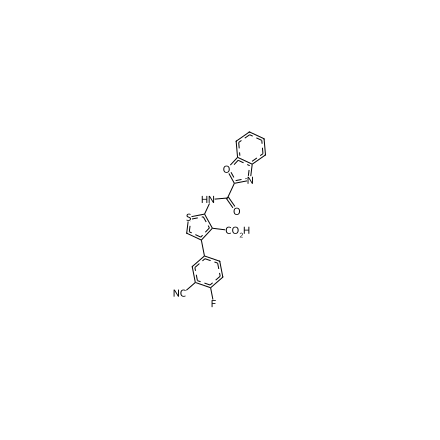 N#Cc1cc(-c2csc(NC(=O)c3nc4ccccc4o3)c2C(=O)O)ccc1F